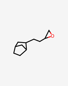 C1CC2CC1CC2CCC1CO1